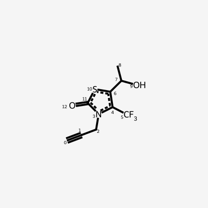 C#CCn1c(C(F)(F)F)c(C(C)O)sc1=O